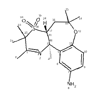 CC1=N[C@]2(C)c3cc(N)ccc3OC(C)(C)C[C@H]2S(=O)(=O)C1(C)C